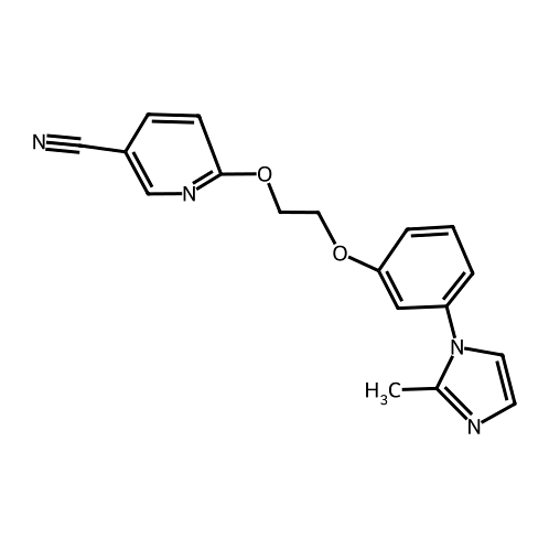 Cc1nccn1-c1cccc(OCCOc2ccc(C#N)cn2)c1